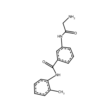 Cc1ccccc1NC(=O)c1cccc(NC(=O)CN)c1